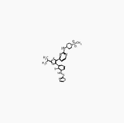 CC(C)c1nc(-c2cccc(NSc3nccs3)c2F)c(-c2ccnc(NC3CCN(S(C)(=O)=O)CC3)n2)s1